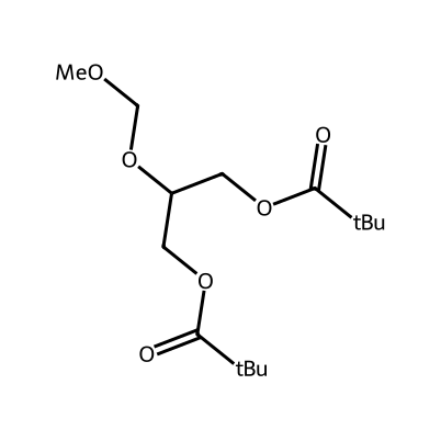 COCOC(COC(=O)C(C)(C)C)COC(=O)C(C)(C)C